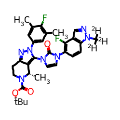 [2H]C([2H])([2H])n1ncc2c(F)c(-n3ccn(-c4c5c(nn4-c4cc(C)c(F)c(C)c4)CCN(C(=O)OC(C)(C)C)[C@H]5C)c3=O)ccc21